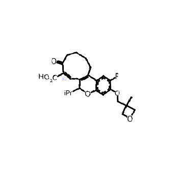 CC(C)C1Oc2cc(OCC3(C)COC3)c(F)cc2C2=C1/C=C(/C(=O)O)C(=O)CCCC2